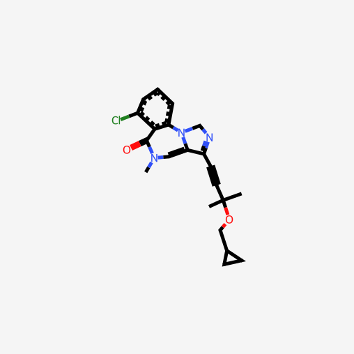 CN1C=C2C(C#CC(C)(C)OCC3CC3)=NCN2c2cccc(Cl)c2C1=O